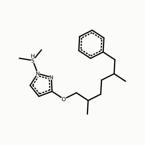 CC(CCC(C)Cc1ccccc1)COc1ccn([SH](C)C)n1